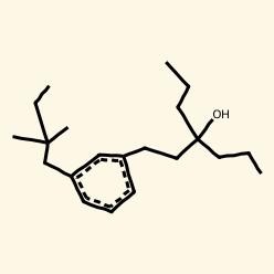 CCCC(O)(CCC)CCc1cccc(CC(C)(C)CC)c1